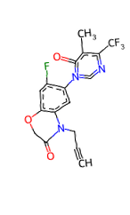 C#CCN1C(=O)COc2cc(F)c(-n3cnc(C(F)(F)F)c(C)c3=O)cc21